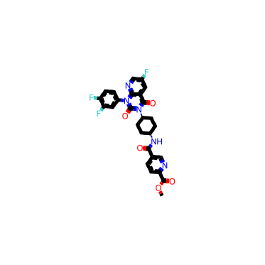 COC(=O)c1ccc(C(=O)N[C@H]2CC[C@@H](n3c(=O)c4cc(F)cnc4n(-c4ccc(F)c(F)c4)c3=O)CC2)cn1